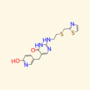 O=c1[nH]c(NCCSCc2nccs2)ncc1Cc1ccc(O)nc1